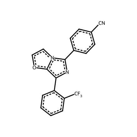 N#Cc1ccc(-c2nc(-c3ccccc3C(F)(F)F)c3occn23)cc1